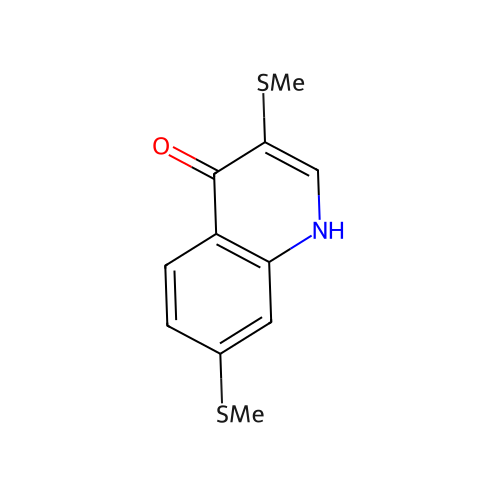 CSc1ccc2c(=O)c(SC)c[nH]c2c1